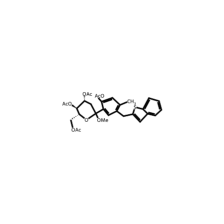 COC1(c2cc(Cc3cc4ccccc4s3)c(C)cc2OC(C)=O)C[C@@H](OC(C)=O)[C@H](OC(C)=O)[C@@H](COC(C)=O)O1